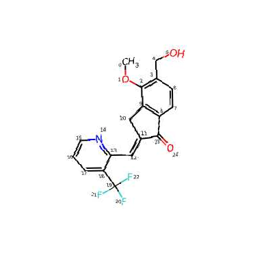 COc1c(CO)ccc2c1C/C(=C\c1ncccc1C(F)(F)F)C2=O